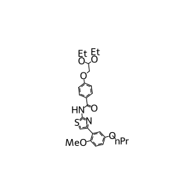 CCCOc1ccc(OC)c(-c2csc(NC(=O)c3ccc(OCC(OCC)OCC)cc3)n2)c1